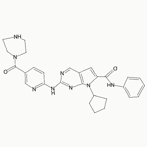 O=C(Nc1ccccc1)c1cc2cnc(Nc3ccc(C(=O)N4CCNCC4)cn3)nc2n1C1CCCC1